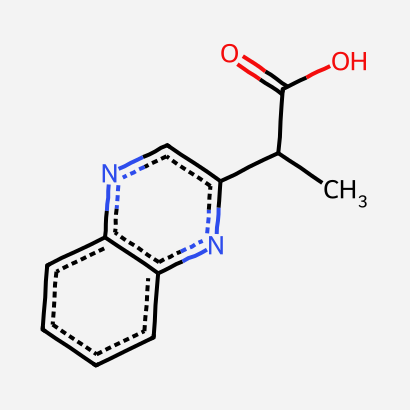 CC(C(=O)O)c1cnc2ccccc2n1